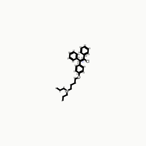 CCCN(CCC)CCCCOc1ccc(/C(=C(\Cl)c2ccccc2)c2ccccc2)cc1